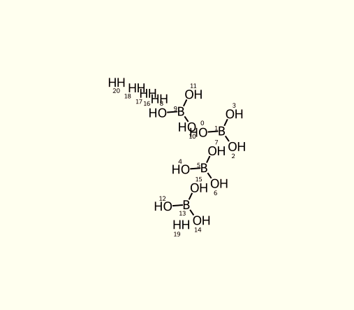 OB(O)O.OB(O)O.OB(O)O.OB(O)O.[HH].[HH].[HH].[HH].[HH]